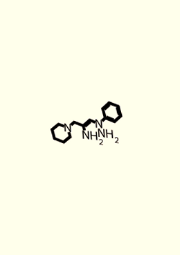 N/C(=C\N(N)c1ccccc1)CN1CCCCC1